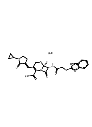 O=C(CSc1nc2ccccc2[nH]1)N[C@@H]1C(=O)N2C(C(=O)O)=C(/C=C3\CCN(C4CC4)C3=O)CS[C@H]12.[NaH]